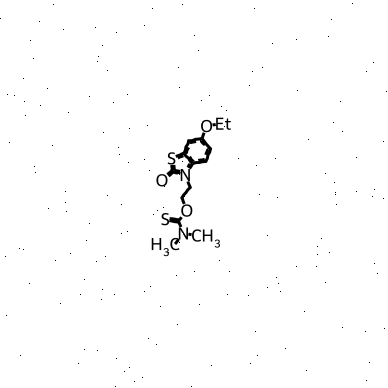 CCOc1ccc2c(c1)sc(=O)n2CCOC(=S)N(C)C